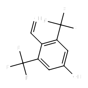 C=Cc1c(C(F)(F)F)cc(O)cc1C(F)(F)F